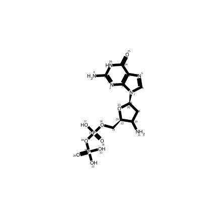 Nc1nc2c(ncn2[C@H]2CC(N)[C@@H](COP(=O)(O)OP(=O)(O)O)O2)c(=O)[nH]1